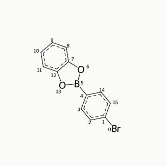 Brc1ccc(B2Oc3ccccc3O2)cc1